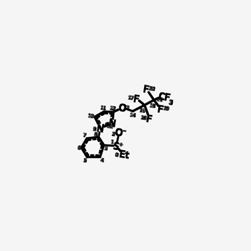 CC[S+]([O-])c1ccccc1-n1ccc(OCC(F)(F)C(F)(F)C(F)(F)F)n1